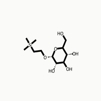 C[Si](C)(C)CCO[C@@H]1OC(CO)[C@H](O)C(O)[C@@H]1O